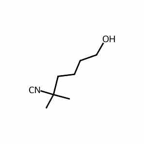 [C-]#[N+]C(C)(C)CCCCO